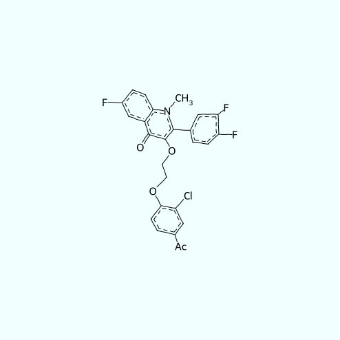 CC(=O)c1ccc(OCCOc2c(-c3ccc(F)c(F)c3)n(C)c3ccc(F)cc3c2=O)c(Cl)c1